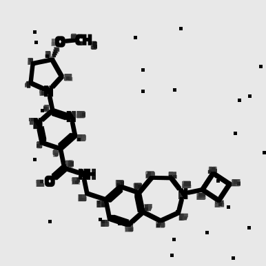 CO[C@H]1CCN(c2ncc(C(=O)NCc3ccc4c(c3)CCN(C3CCC3)CC4)cn2)C1